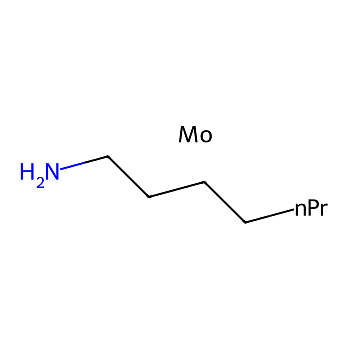 CCCCCCCN.[Mo]